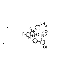 N[C@H]1CC[C@@H](n2c(=O)c3cc(F)cnc3n(-c3cccc(-c4cc(O)ccc4CN4CCOCC4)c3)c2=O)CC1